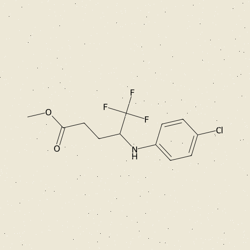 COC(=O)CCC(Nc1ccc(Cl)cc1)C(F)(F)F